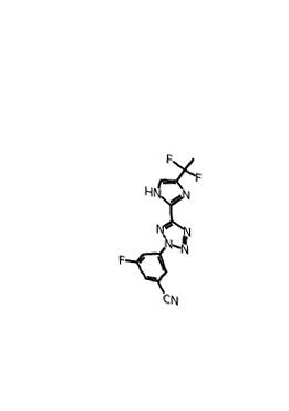 CC(F)(F)c1c[nH]c(-c2nnn(-c3cc(F)cc(C#N)c3)n2)n1